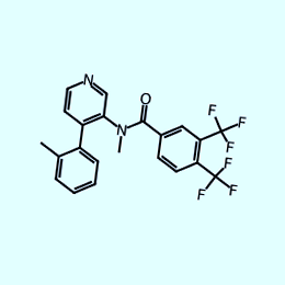 Cc1ccccc1-c1ccncc1N(C)C(=O)c1ccc(C(F)(F)F)c(C(F)(F)F)c1